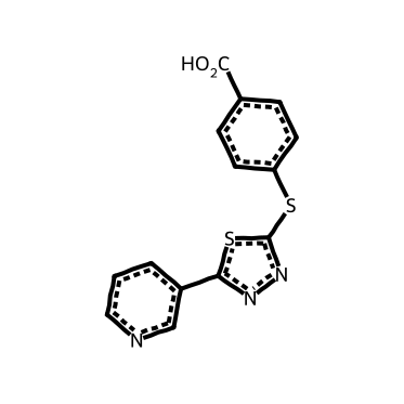 O=C(O)c1ccc(Sc2nnc(-c3cccnc3)s2)cc1